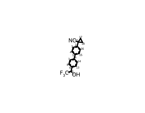 N#CC1(c2ccc(-c3ccc(C(O)C(F)(F)F)cc3)cc2)CC1